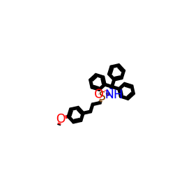 COc1ccc(CCC[S+]([O-])NC(c2ccccc2)(c2ccccc2)c2ccccc2)cc1